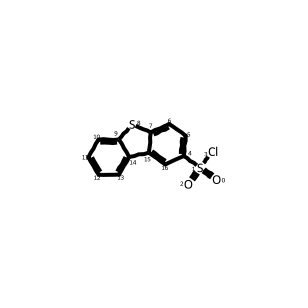 O=S(=O)(Cl)c1ccc2sc3ccccc3c2c1